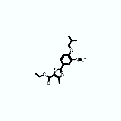 [C-]#[N+]c1cc(-c2nc(C)c(C(=O)OCC)s2)ccc1OCC(C)C